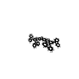 c1ccc2c(c1)c1ccccc1n2-c1cc2c3c(c1)-n1c4ccccc4c4cccc(c41)B3c1cc3c(cc1O2)oc1cc2c(cc13)B1c3c(cc(-n4c5ccccc5c5ccccc54)cc3-n3c4ccccc4c4cccc1c43)O2